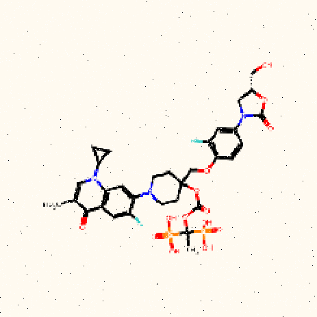 CC(OC(=O)OC1(COc2ccc(N3C[C@H](CO)OC3=O)cc2F)CCN(c2cc3c(cc2F)c(=O)c(C(=O)O)cn3C2CC2)CC1)(P(=O)(O)O)P(=O)(O)O